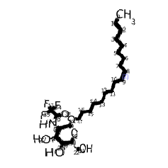 CCCCCCCC/C=C\CCCCCCCCO[C@H]1O[C@H](CO)[C@@H](O)[C@H](O)[C@H]1NC(=O)C(F)(F)F